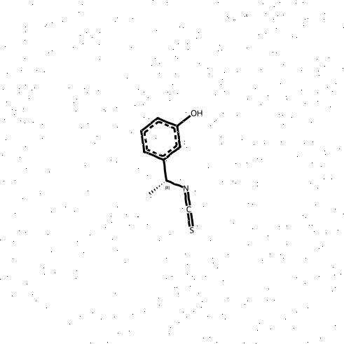 C[C@@H](N=C=S)c1cccc(O)c1